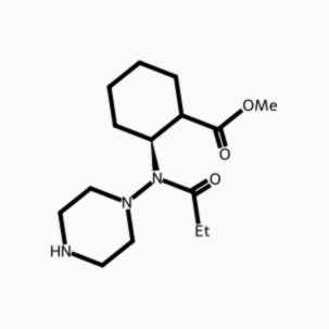 CCC(=O)N([C@H]1CCCCC1C(=O)OC)N1CCNCC1